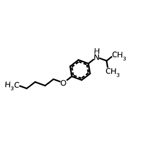 CCCCCOc1ccc(NC(C)C)cc1